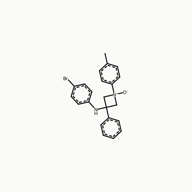 Cc1ccc([N+]2([O-])CC(Nc3ccc(Br)cc3)(c3ccccc3)C2)cc1